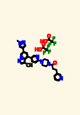 Cn1cc(-c2cc(-c3ccc(N4CCN(C(=O)CCc5cccnc5)CC4)nc3)c3c(C#N)cnn3c2)cn1.O=C(O)C(F)(F)F.O=C(O)C(F)(F)F